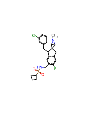 CN1C2C1C21Cc2cc(F)c(CNS(=O)(=O)C3CCC3)cc2C1Cc1cccc(Cl)c1